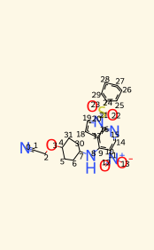 N#CCOC1CCC(Nc2c([N+](=O)[O-])cnc3c2ccn3S(=O)(=O)c2ccccc2)CC1